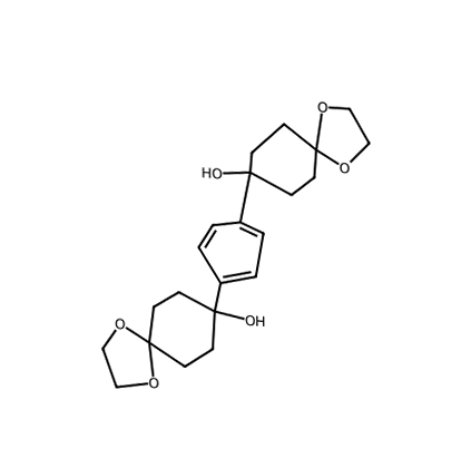 OC1(c2ccc(C3(O)CCC4(CC3)OCCO4)cc2)CCC2(CC1)OCCO2